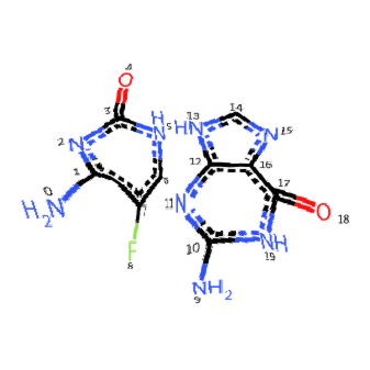 Nc1nc(=O)[nH]cc1F.Nc1nc2[nH]cnc2c(=O)[nH]1